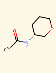 CCCC(=O)N[C@@H]1CCCOC1